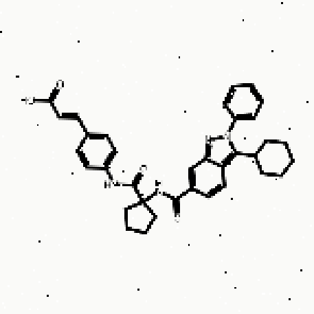 O=C(O)C=Cc1ccc(NC(=O)C2(NC(=O)c3ccc4c(C5CCCCC5)n(-c5ccccc5)nc4c3)CCCC2)cc1